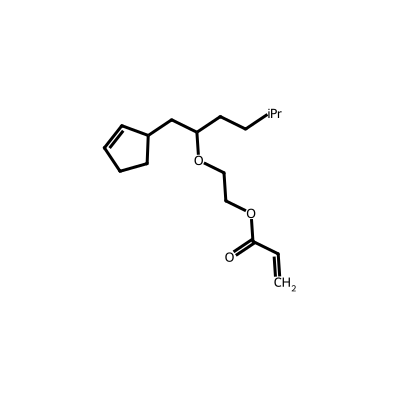 C=CC(=O)OCCOC(CCC(C)C)CC1C=CCC1